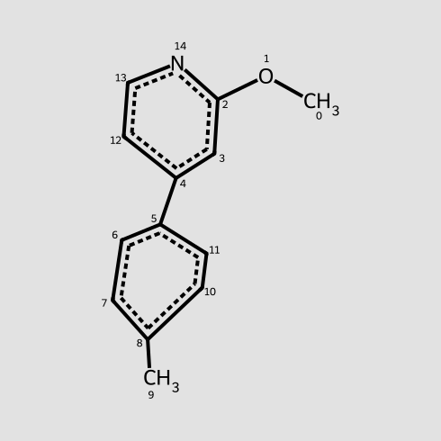 COc1cc(-c2ccc(C)cc2)ccn1